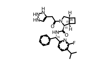 CC(C)c1ccc([C@@H](NC(=O)[C@@H]2[C@H]3CC[C@H]3CN2C(=O)CC2=CNNN2)c2ccccc2)nc1F